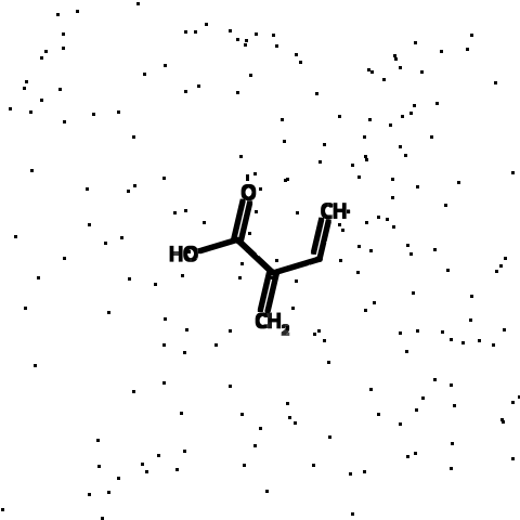 [CH]=CC(=C)C(=O)O